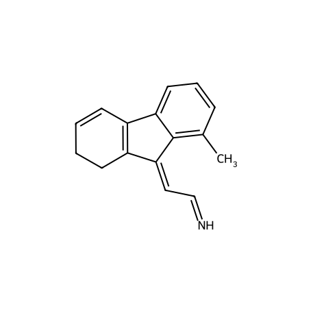 Cc1cccc2c1/C(=C\C=N)C1=C2C=CCC1